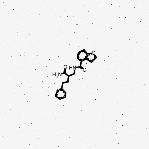 NC(=O)C(CCc1ccccc1)CNC(=O)c1cccc2occc12